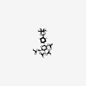 CC(=O)OC[C@H]1O[C@H](c2ccc(B3OC(C)(C)C(C)(C)O3)cc2)[C@@H](OC(C)=O)[C@H](OC(C)=O)[C@@H]1OC(C)=O